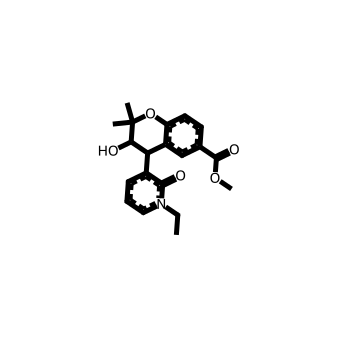 CCn1cccc(C2c3cc(C(=O)OC)ccc3OC(C)(C)C2O)c1=O